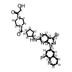 O=C(CO)N1CCN(C(=O)[C@@H]2CC[C@@H](Nc3ncc4c(Br)nn(-c5cc(F)c6ncccc6c5)c4n3)C2)CC1